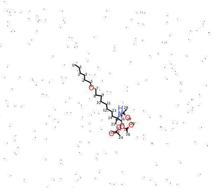 CCCCCCOCCCCCCCCC(COC(C)=O)(COC(C)=O)NC(C)=O